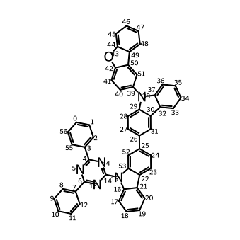 c1ccc(-c2nc(-c3ccccc3)nc(-n3c4ccccc4c4ccc(-c5ccc6c(c5)c5ccccc5n6-c5ccc6oc7ccccc7c6c5)cc43)n2)cc1